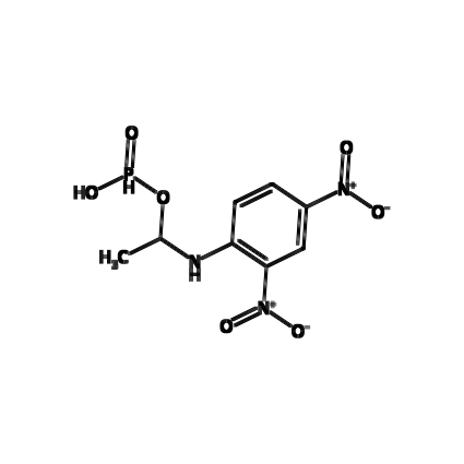 CC(Nc1ccc([N+](=O)[O-])cc1[N+](=O)[O-])O[PH](=O)O